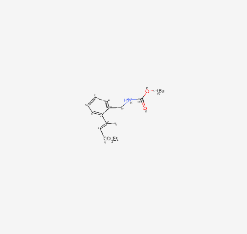 CCOC(=O)/C=C(\C)c1ccccc1CNC(=O)OC(C)(C)C